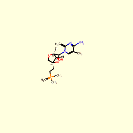 C=C1N=C(N)C(C)=CN1C1O[C@@]2(CCP(=C)(C)C)CO[C@@H]1[C@@H]2O